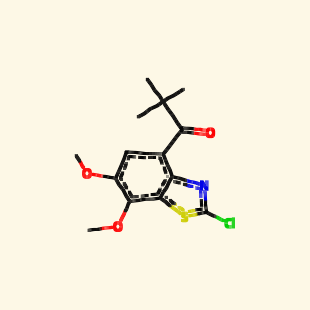 COc1cc(C(=O)C(C)(C)C)c2nc(Cl)sc2c1OC